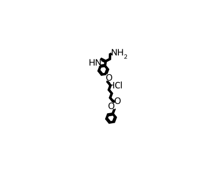 Cl.NCCc1c[nH]c2ccc(OCCCCCC(=O)OCc3ccccc3)cc12